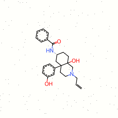 C=CCN1CCC2(c3cccc(O)c3)C[C@H](NC(=O)c3ccccc3)CCC2(O)C1